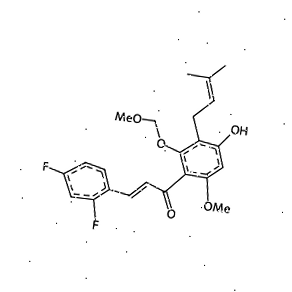 COCOc1c(CC=C(C)C)c(O)cc(OC)c1C(=O)C=Cc1ccc(F)cc1F